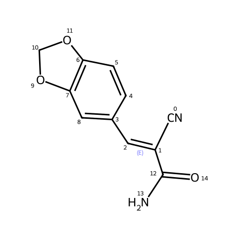 N#C/C(=C\c1ccc2c(c1)OCO2)C(N)=O